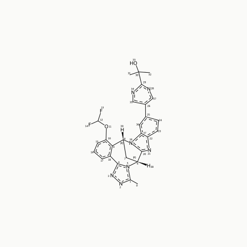 Cc1nnc2n1[C@@H]1C[C@H](c3c(OC(F)F)cccc3-2)n2c1nc1ccc(-c3cnc(C(C)(C)O)nc3)cc12